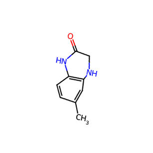 Cc1ccc2c(c1)NCC(=O)N2